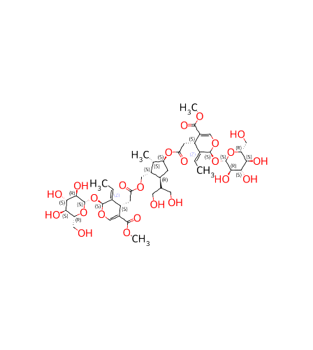 C/C=C1\[C@H](O[C@@H]2O[C@H](CO)[C@@H](O)[C@H](O)[C@H]2O)OC=C(C(=O)OC)[C@H]1CC(=O)OC[C@@H]1[C@H](C)[C@@H](OC(=O)C[C@@H]2C(C(=O)OC)=CO[C@@H](O[C@@H]3O[C@H](CO)[C@@H](O)[C@H](O)[C@H]3O)/C2=C\C)C[C@H]1C(CO)CO